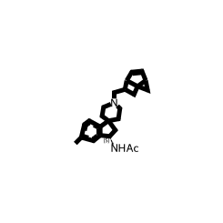 CC(=O)N[C@H]1CC2(CCN(CC3CC45CC4C=CC35)CC2)c2ccc(C)cc21